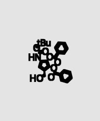 CC(C)(C)OC(=O)N[C@@H]1C[C@H](CO)[C@@H](OC(=O)c2ccccc2)[C@H]1OC(=O)c1ccccc1